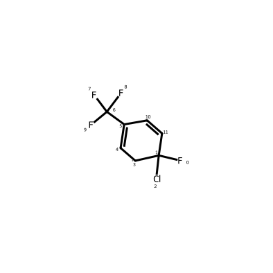 FC1(Cl)[CH]C=C(C(F)(F)F)C=C1